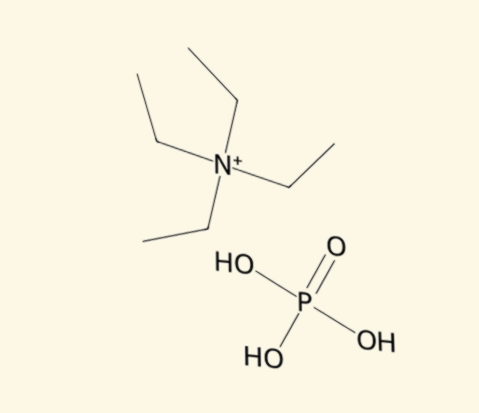 CC[N+](CC)(CC)CC.O=P(O)(O)O